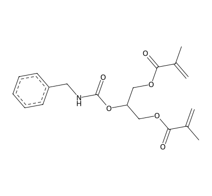 C=C(C)C(=O)OCC(COC(=O)C(=C)C)OC(=O)NCc1ccccc1